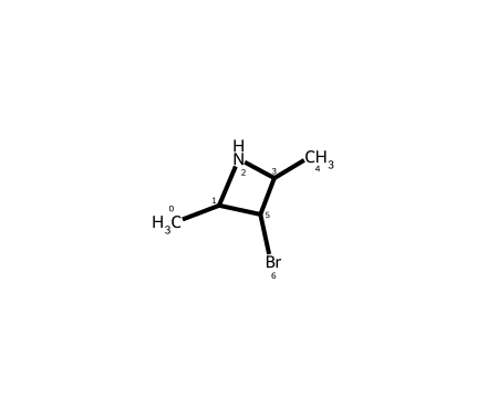 CC1NC(C)C1Br